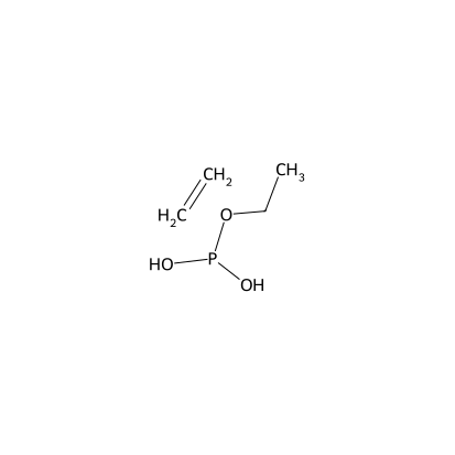 C=C.CCOP(O)O